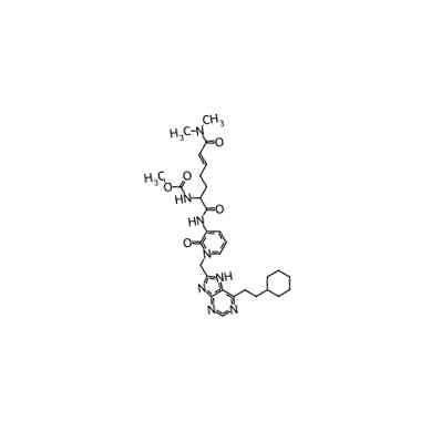 COC(=O)NC(CC/C=C/C(=O)N(C)C)C(=O)Nc1cccn(Cc2nc3ncnc(CCC4CCCCC4)c3[nH]2)c1=O